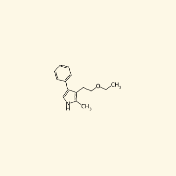 CCOCCc1c(-c2ccccc2)c[nH]c1C